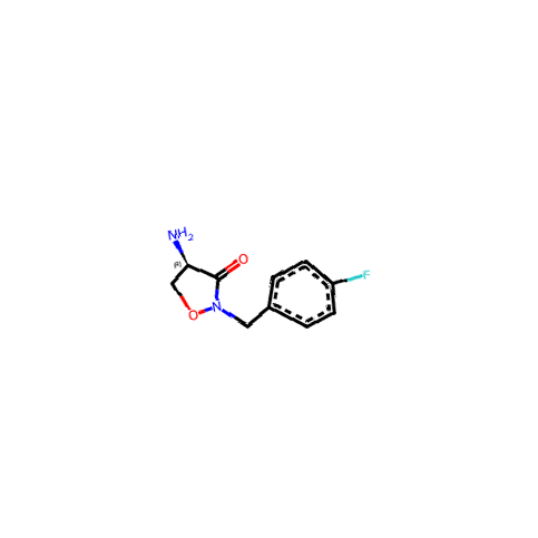 N[C@@H]1CON(Cc2ccc(F)cc2)C1=O